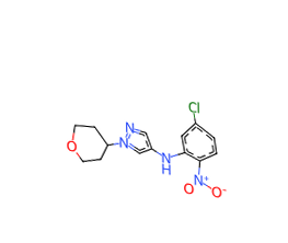 O=[N+]([O-])c1ccc(Cl)cc1Nc1cnn(C2CCOCC2)c1